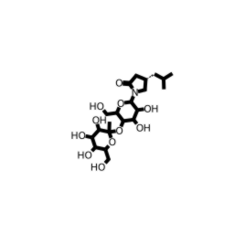 CC(C)C[C@H]1CC(=O)N(C2OC(CO)C(OC3(C)OC(CO)C(O)C(O)C3O)C(O)C2O)C1